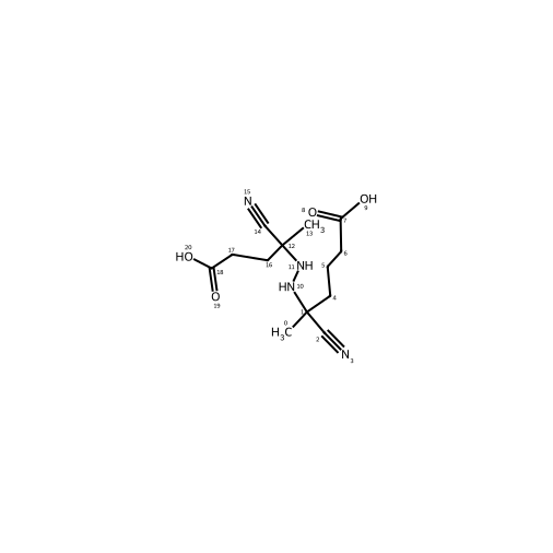 CC(C#N)(CCCC(=O)O)NNC(C)(C#N)CCC(=O)O